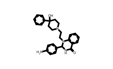 Nc1ccc(C2NC(=O)c3ccccc3N2CCN2CCC(O)(c3ccccc3)CC2)cc1